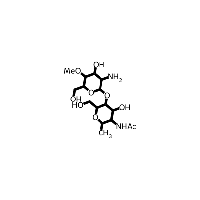 COC1C(CO)OC(OC2C(CO)OC(C)C(NC(C)=O)C2O)C(N)C1O